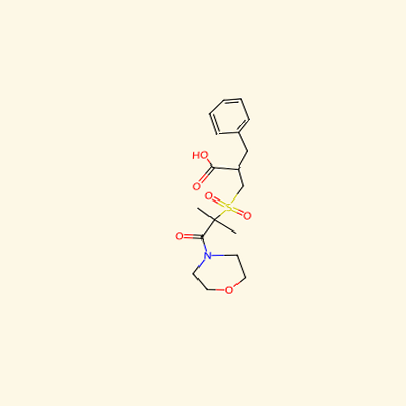 CC(C)(C(=O)N1CCOCC1)S(=O)(=O)CC(Cc1ccccc1)C(=O)O